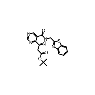 CC(C)(C)OC(=O)Cc1nn(Cc2nc3ccccc3s2)c(=O)c2cncnc12